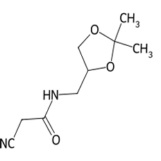 CC1(C)OCC(CNC(=O)CC#N)O1